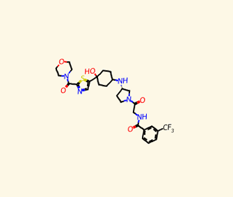 O=C(NCC(=O)N1CC[C@H](NC2CCC(O)(c3cnc(C(=O)N4CCOCC4)s3)CC2)C1)c1cccc(C(F)(F)F)c1